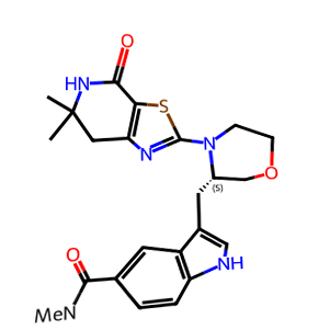 CNC(=O)c1ccc2[nH]cc(C[C@H]3COCCN3c3nc4c(s3)C(=O)NC(C)(C)C4)c2c1